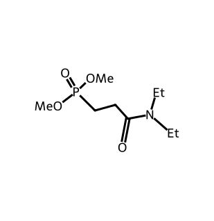 CCN(CC)C(=O)CCP(=O)(OC)OC